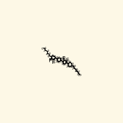 CCCCCCCc1ccc(-c2ccc(-c3ccc(C4CCC(CCCCCCC)CC4)c(F)c3F)cc2)c(F)c1F